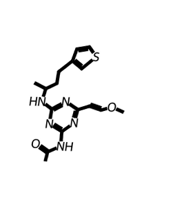 COC=Cc1nc(NC(C)=O)nc(NC(C)CCc2ccsc2)n1